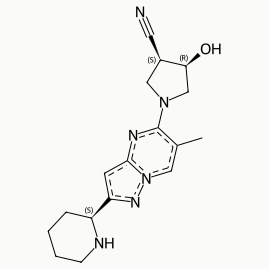 Cc1cn2nc([C@@H]3CCCCN3)cc2nc1N1C[C@@H](C#N)[C@@H](O)C1